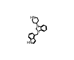 [CH]1N(Cc2cccc3[nH]ccc23)c2ccccc2N1C1CCNCC1